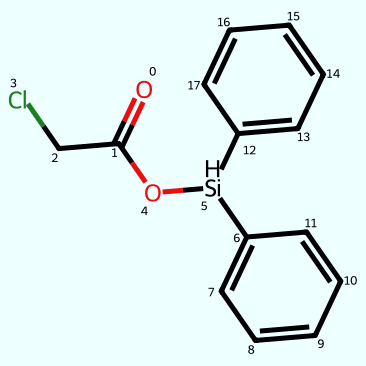 O=C(CCl)O[SiH](c1ccccc1)c1ccccc1